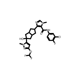 Cn1cnc(C2CC3CC(O)(c4cc(OC(F)F)nn4C)CC3C2)c1C(=O)Nc1ccc(F)c(Cl)c1